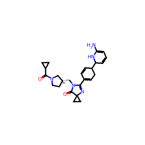 NC1=CC=CC(C2C=CC(C3=NC4(CC4)C(=O)N3C[C@@H]3CCN(C(=O)C4CC4)C3)=CC2)N1